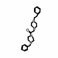 O=C(CN1CCN(CCc2ccccc2)CC1)N1CCN(Cc2ccccc2)CC1